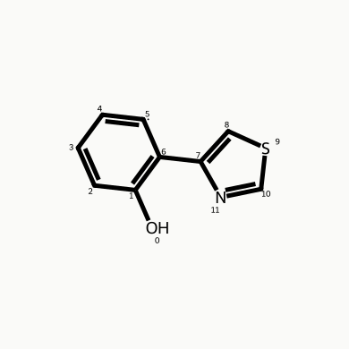 Oc1ccc[c]c1-c1cscn1